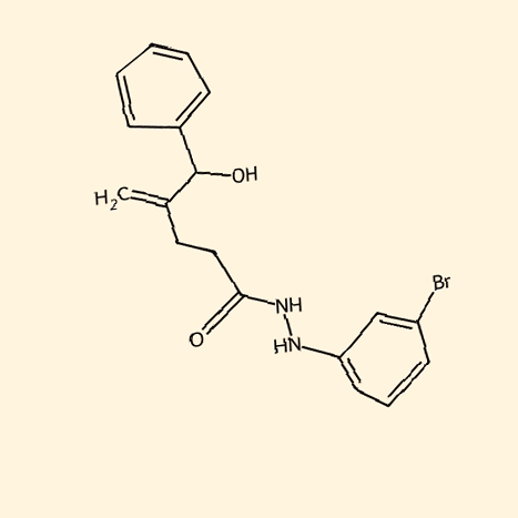 C=C(CCC(=O)NNc1cccc(Br)c1)C(O)c1ccccc1